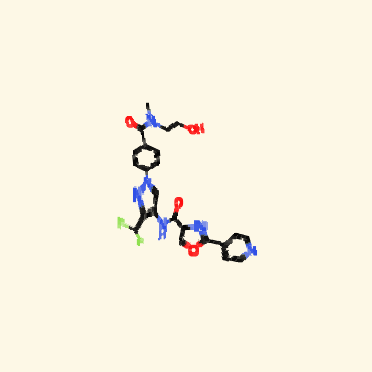 CN(CCO)C(=O)c1ccc(-n2cc(NC(=O)c3coc(-c4ccncc4)n3)c(C(F)F)n2)cc1